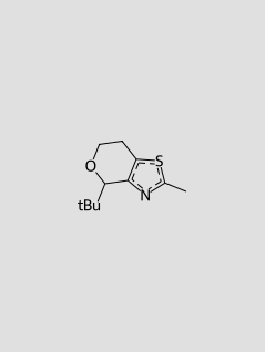 Cc1nc2c(s1)CCOC2C(C)(C)C